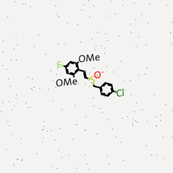 COc1cc(F)cc(OC)c1C=C[S+]([O-])Cc1ccc(Cl)cc1